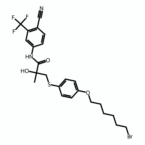 CC(O)(CSc1ccc(OCCCCCCBr)cc1)C(=O)Nc1ccc(C#N)c(C(F)(F)F)c1